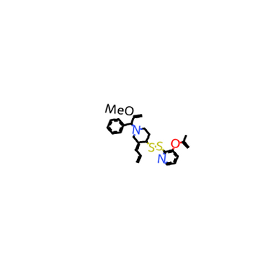 C=C/C=C1/CN(C(C(=C)OC)c2ccccc2)CCC1SSc1ncccc1OC(=C)C